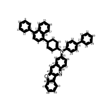 C1=CC(c2ccc(-c3ccccc3)c3ccccc23)CC=C1N(c1ccc(-c2ccccc2)cc1)c1ccc2nc3c(cc2c1)oc1ccccc13